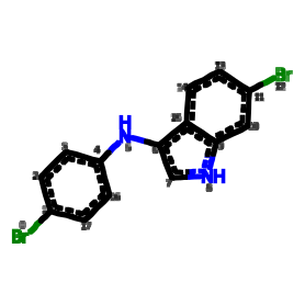 Brc1ccc(Nc2c[nH]c3cc(Br)ccc23)cc1